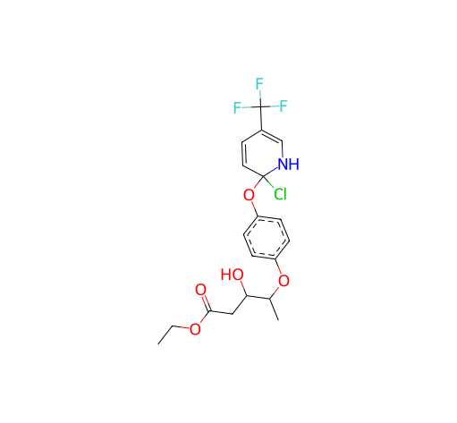 CCOC(=O)CC(O)C(C)Oc1ccc(OC2(Cl)C=CC(C(F)(F)F)=CN2)cc1